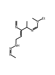 C=N/C(=C\CN/N=N\C)C(C)/N=C\N(C)CC